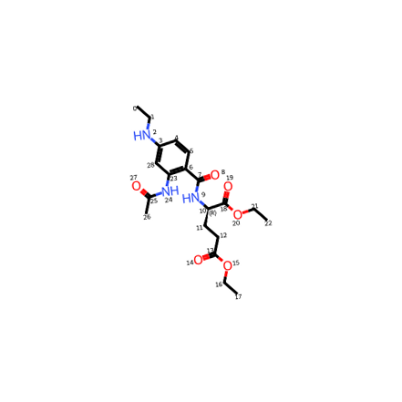 CCNc1ccc(C(=O)N[C@H](CCC(=O)OCC)C(=O)OCC)c(NC(C)=O)c1